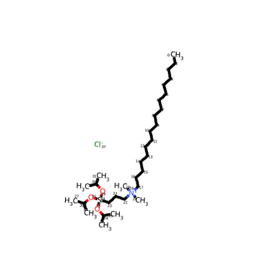 CCCCCCCCCCCCCCCCCC[N+](C)(C)CCC[Si](OC(C)C)(OC(C)C)OC(C)C.[Cl-]